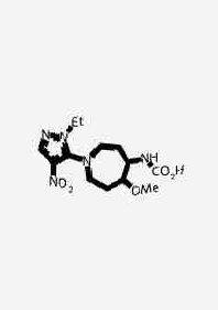 CCn1ncc([N+](=O)[O-])c1N1CCC(NC(=O)O)C(OC)CC1